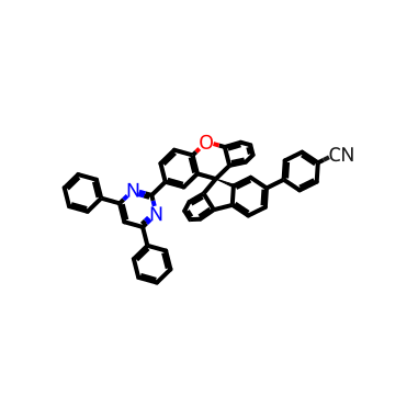 N#Cc1ccc(-c2ccc3c(c2)[C@@]2(c4ccccc4Oc4ccc(-c5nc(-c6ccccc6)cc(-c6ccccc6)n5)cc42)c2ccccc2-3)cc1